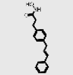 O=C(CCc1ccc(CC=Cc2ccccc2)cc1)NO